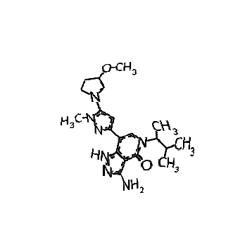 CO[C@@H]1CCN(c2cc(-c3cn(C(C)C(C)C)c(=O)c4c(N)n[nH]c34)nn2C)C1